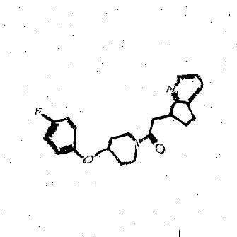 O=C(CC1CCc2cccnc21)N1CCC(Oc2ccc(F)cc2)CC1